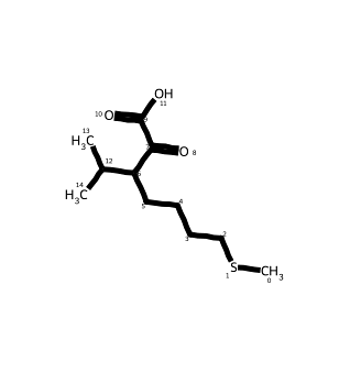 CSCCCCC(C(=O)C(=O)O)C(C)C